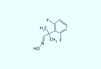 CC(C)(C=NO)c1c(F)cccc1F